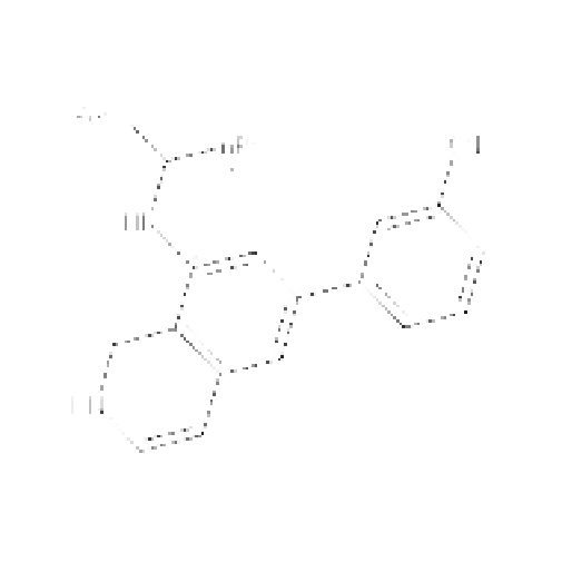 CCCCCC(CCC)Nc1cc(-c2cccc(C#N)c2)cc2c1CNC=C2